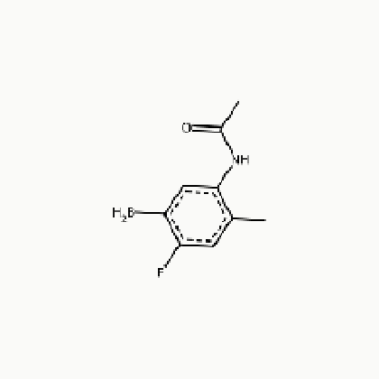 Bc1cc(NC(C)=O)c(C)cc1F